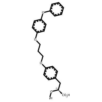 CC(C)O[C@@H](Cc1ccc(OCCCOc2ccc(Oc3ccccc3)cc2)cc1)C(=O)O